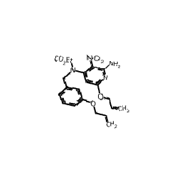 C=CCOc1cccc(CN(C(=O)OCC)c2cc(OCC=C)nc(N)c2[N+](=O)[O-])c1